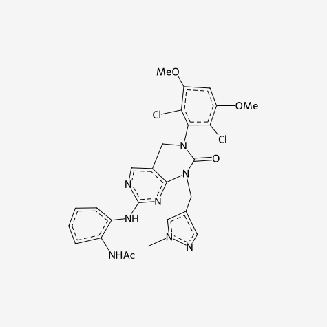 COc1cc(OC)c(Cl)c(N2Cc3cnc(Nc4ccccc4NC(C)=O)nc3N(Cc3cnn(C)c3)C2=O)c1Cl